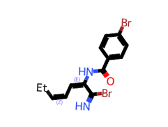 CC/C=C\C=C(\NC(=O)c1ccc(Br)cc1)C(=N)Br